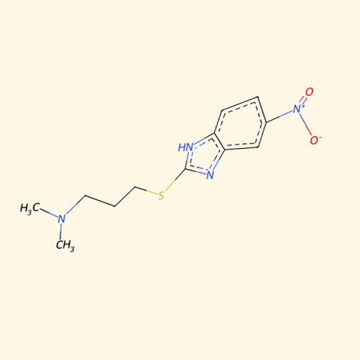 CN(C)CCCSc1nc2cc([N+](=O)[O-])ccc2[nH]1